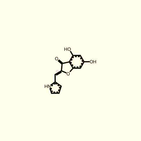 O=C1/C(=C/c2ccc[nH]2)Oc2cc(O)cc(O)c21